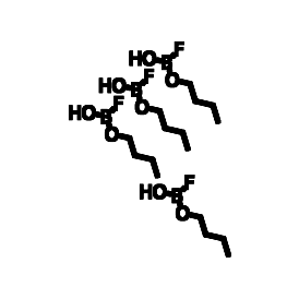 CCCCOB(O)F.CCCCOB(O)F.CCCCOB(O)F.CCCCOB(O)F